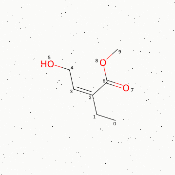 CCC(=CCO)C(=O)OC